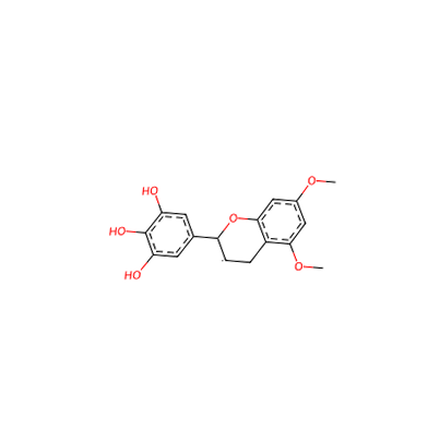 COc1cc(OC)c2c(c1)OC(c1cc(O)c(O)c(O)c1)[CH]C2